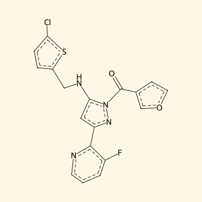 O=C(c1ccoc1)n1nc(-c2ncccc2F)cc1NCc1ccc(Cl)s1